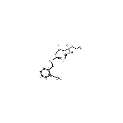 C[C@@H](OC(=O)OCc1ccccc1[N+](=O)[O-])[C@H]1C(=O)N[C@]1(C)CCO